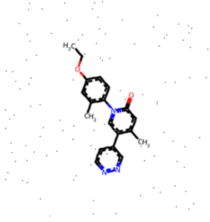 CCOc1ccc(-n2cc(-c3ccnnc3)c(C)cc2=O)c(C)c1